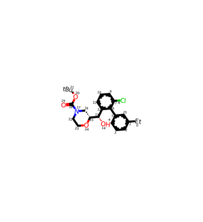 CCc1cccc(-c2c(Cl)cccc2[C@H](O)[C@H]2CN(C(=O)OC(C)(C)C)CCO2)c1